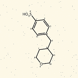 O=S(=O)(O)c1ccc(CC2CCOCC2)cc1